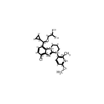 COc1ccc(N2CCCn3c2nc2c(Cl)ccc(C(OCC(F)F)C4CC4)c23)c(C)n1